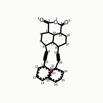 O=C1OC(=O)C2CCC(C#Cc3ccccc3)C3C(C#Cc4ccccc4)CCC1C23